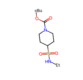 CCCCOC(=O)N1CCC(S(=O)(=O)NCC)CC1